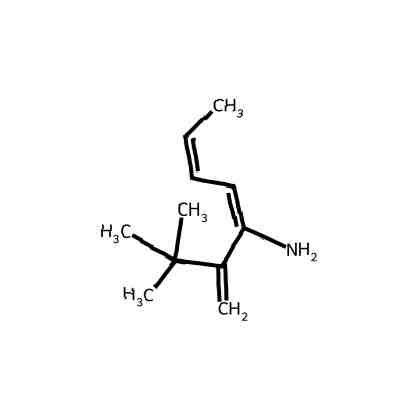 C=C(/C(N)=C\C=C/C)C(C)(C)C